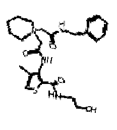 Cc1csc(C(=O)NCCO)c1NC(=O)C[N+]1(CC(=O)NCc2ccccc2)CCCCC1